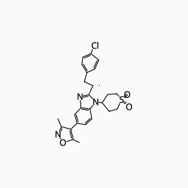 Cc1noc(C)c1-c1ccc2c(c1)nc([C@@H](C)Cc1ccc(Cl)cc1)n2C1CCS(=O)(=O)CC1